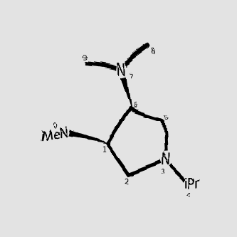 CN[C@@H]1CN(C(C)C)C[C@@H]1N(C)C